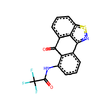 O=C1c2c(NC(=O)C(F)(F)F)cccc2-c2nsc3cccc1c23